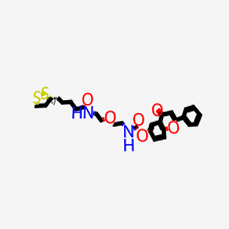 O=C(CCCC[C@@H]1CCSS1)NCCOCCNC(=O)Oc1ccc2oc(-c3ccccc3)cc(=O)c2c1